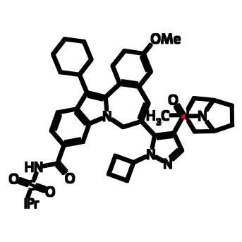 COC1=CC2=C(CC1)c1c(C3CCCCC3)c3ccc(C(=O)NS(=O)(=O)C(C)C)cc3n1CC(c1c(C(=O)N3C4CCC3CN(C)C4)cnn1C1CCC1)=C2